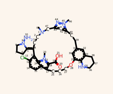 CN1CC/C(=C2/CCCN2N)c2c(Cl)ccc3c(c(C(=O)O)n(C)c23)CCCOc2cc(cc3c2NCCC3)CCc2cc(nn2C)C1